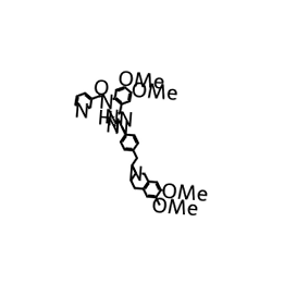 COc1cc2c(cc1OC)CN(CCc1ccc(-n3nnc(-c4cc(OC)c(OC)cc4NC(=O)c4cccnc4)n3)cc1)CC2